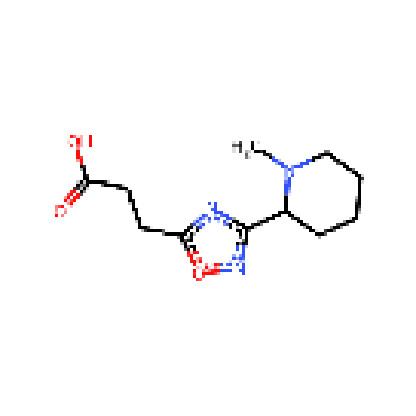 CN1CCCCC1c1noc(CCC(=O)O)n1